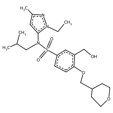 CCn1nc(C)cc1N(CC(C)C)S(=O)(=O)c1ccc(OCC2CCOCC2)c(CO)c1